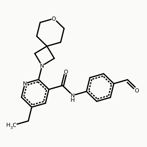 CCc1cnc(N2CC3(CCOCC3)C2)c(C(=O)Nc2ccc(C=O)cc2)c1